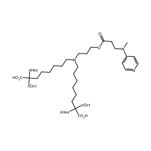 CCCCCCCCC(CCCCCC)(CCCCCCN(CCCCCCC(CCCCCC)(CCCCCCCC)C(=O)O)CCCOC(=O)CCN(C)c1ccncc1)C(=O)O